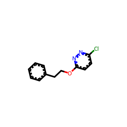 Clc1ccc(OCCc2ccccc2)nn1